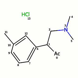 CC(=O)C(CN(C)C)c1cccc(C)c1.Cl